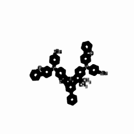 CC(C)(C)c1ccc(N(c2ccc3c(c2)C(C)(C)c2c-3n3c4c2cc(-c2ccccc2)cc4c2sc4cc(N(c5ccc(C(C)(C)C)cc5)c5ccc6c(c5)oc5ccccc56)ccc4c23)c2ccc3c(c2)oc2ccccc23)cc1